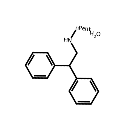 CCCCCNCC(c1ccccc1)c1ccccc1.O